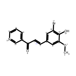 COc1cc(/C=C/C(=O)c2cccnc2)cc(Br)c1O